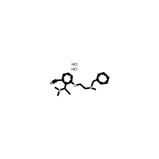 CC(c1c(C#N)cccc1OCCN(C)Cc1ccccc1)N(C)C.Cl.Cl